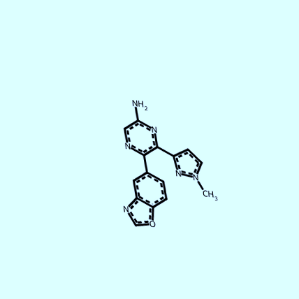 Cn1ccc(-c2nc(N)cnc2-c2ccc3ocnc3c2)n1